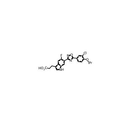 CC(C)Oc1ccc(-c2nc(-c3cc4[nH]cc(CCC(=O)O)c4cc3F)no2)cc1Cl